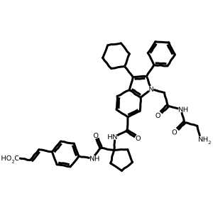 NCC(=O)NC(=O)Cn1c(-c2ccccc2)c(C2CCCCC2)c2ccc(C(=O)NC3(C(=O)Nc4ccc(C=CC(=O)O)cc4)CCCC3)cc21